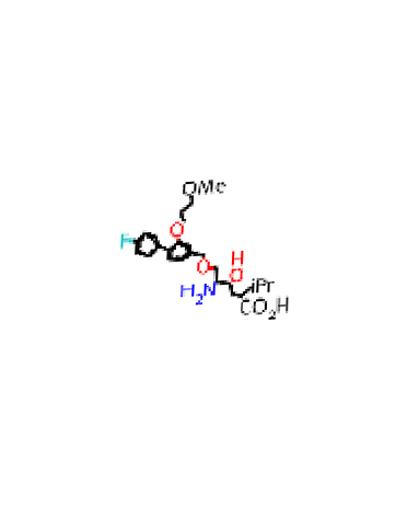 COCCCOc1cc(COCC(N)C(O)CC(C(=O)O)C(C)C)ccc1-c1ccc(F)cc1